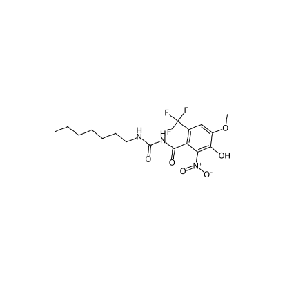 CCCCCCCNC(=O)NC(=O)c1c(C(F)(F)F)cc(OC)c(O)c1[N+](=O)[O-]